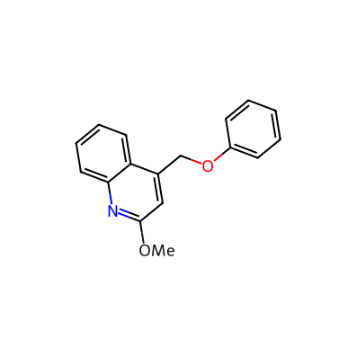 COc1cc(COc2ccccc2)c2ccccc2n1